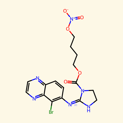 O=C(OCCCCO[N+](=O)[O-])N1CCN/C1=N/c1ccc2nccnc2c1Br